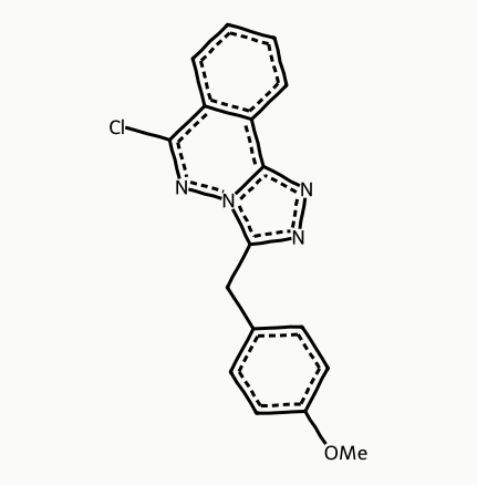 COc1ccc(Cc2nnc3c4ccccc4c(Cl)nn23)cc1